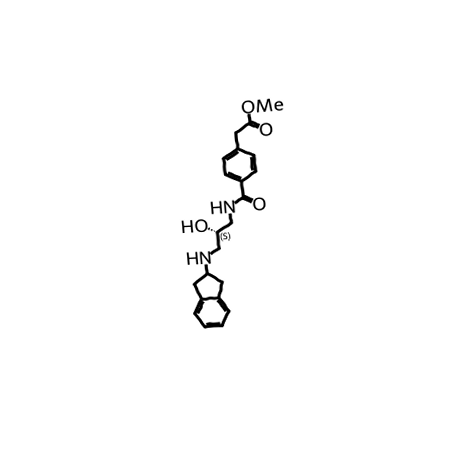 COC(=O)Cc1ccc(C(=O)NC[C@@H](O)CNC2Cc3ccccc3C2)cc1